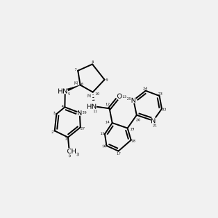 Cc1ccc(N[C@H]2CCC[C@@H]2NC(=O)c2ccccc2-c2ncccn2)nc1